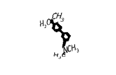 C=C(C)c1ccc(C2=C/C(=C/N(C)C)CC=C2)cc1